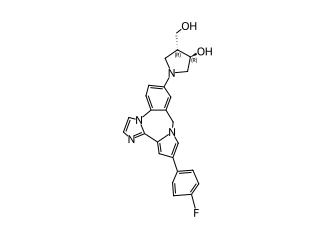 OC[C@H]1CN(c2ccc3c(c2)Cn2cc(-c4ccc(F)cc4)cc2-c2nccn2-3)C[C@@H]1O